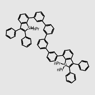 CCC[SiH]1C(c2ccccc2)=C(c2ccccc2)c2cccc(-c3cccc(-c4cccc(-c5cccc(-c6cccc(-c7cccc8c7[Si](CCC)(CCC)C(c7ccccc7)=C8c7ccccc7)c6)c5)c4)c3)c21